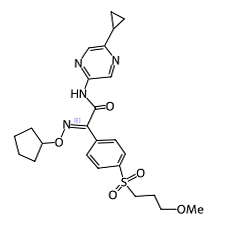 COCCCS(=O)(=O)c1ccc(/C(=N\OC2CCCC2)C(=O)Nc2cnc(C3CC3)cn2)cc1